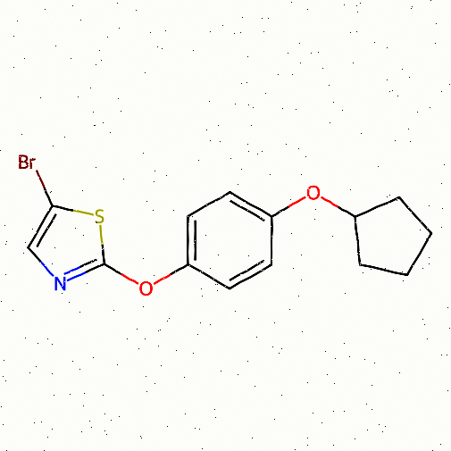 Brc1cnc(Oc2ccc(OC3CCCC3)cc2)s1